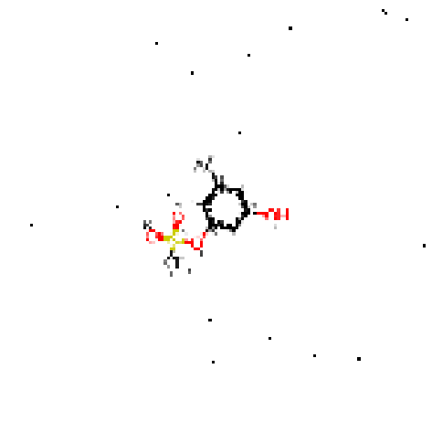 CC(=O)c1cc(O)cc(OS(=O)(=O)C(F)(F)F)c1